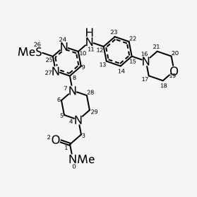 CNC(=O)CN1CCN(c2cc(Nc3ccc(N4CCOCC4)cc3)nc(SC)n2)CC1